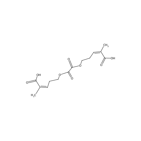 CC(=CCCOC(=O)C(=O)OCCC=C(C)C(=O)O)C(=O)O